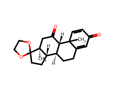 CC12C=CC(=O)C=C1CC[C@@H]1[C@@H]2C(=O)C[C@@]2(C)[C@H]1CCC21OCCO1